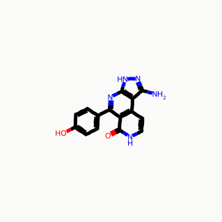 Nc1n[nH]c2nc(-c3ccc(O)cc3)c3c(=O)[nH]ccc3c12